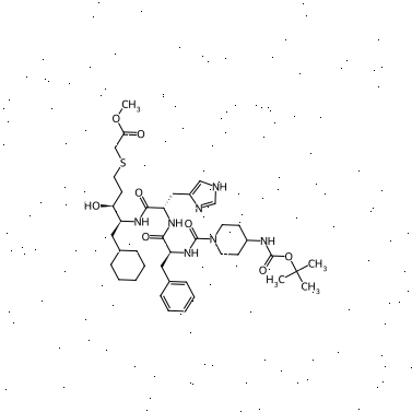 COC(=O)CSCC[C@H](O)[C@H](CC1CCCCC1)NC(=O)[C@H](Cc1c[nH]cn1)NC(=O)[C@H](Cc1ccccc1)NC(=O)N1CCC(NC(=O)OC(C)(C)C)CC1